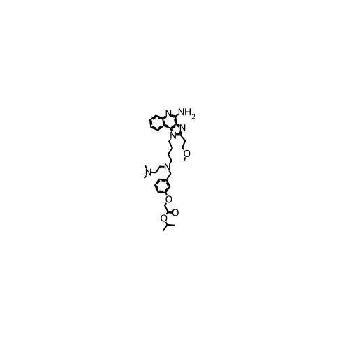 COCCc1nc2c(N)nc3ccccc3c2n1CCCCN(CCN(C)C)Cc1cccc(OCC(=O)OC(C)C)c1